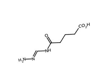 NN=CNC(=O)CCCC(=O)O